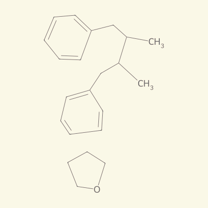 C1CCOC1.CC(Cc1ccccc1)C(C)Cc1ccccc1